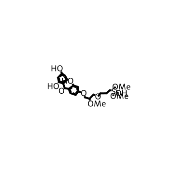 COC(COCCC[Si](O)(OC)OC)COc1ccc(C(=O)c2ccc(O)cc2O)c(O)c1